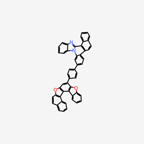 c1ccc2c(c1)ccc1oc3cc(-c4ccc(-c5ccc6c7ccc8ccccc8c7c7nc8ccccc8n7c6c5)cc4)c4oc5ccccc5c4c3c12